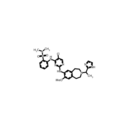 COc1cc2c(cc1Nc1ncc(Cl)c(Nc3ccccc3S(=O)(=O)N(C)C)n1)CCN(C(C)c1ncc[nH]1)CC2